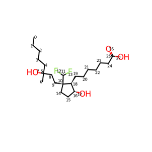 CCCCCC(C)(O)CC[C@]1([C](F)F)CC[C@H](O)[C@@H]1CCCCCCC(=O)O